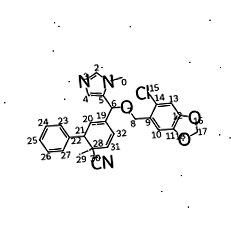 Cn1cncc1C(OCc1cc2c(cc1Cl)OCO2)C1=CC(c2ccccc2)C(C)(C#N)C=C1